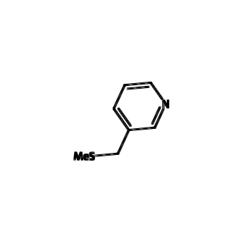 [CH2]SCc1cccnc1